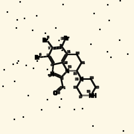 O=Cc1nc2c(Br)c(Br)c(Br)c3c2n1C(N1CCNCC1)CC3